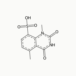 Cc1ccc(S(=O)(=O)O)c2c1c(=O)[nH]c(=O)n2C